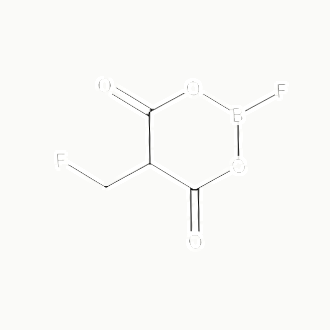 O=C1OB(F)OC(=O)C1CF